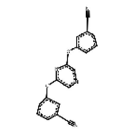 N#Cc1cccc(Oc2cncc(Oc3cccc(C#N)c3)n2)c1